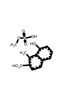 COS(=O)(=O)O.Cc1c(C(=O)O)ccc2cccc(O)c12